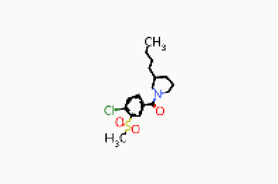 CCCCC1CCCN(C(=O)c2ccc(Cl)c(S(C)(=O)=O)c2)C1